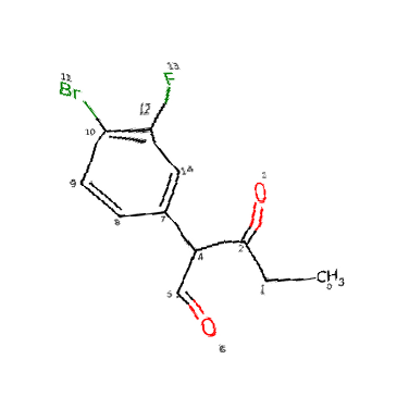 CCC(=O)C([C]=O)c1ccc(Br)c(F)c1